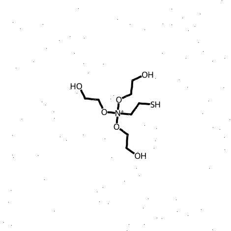 OCCO[N+](CCS)(OCCO)OCCO